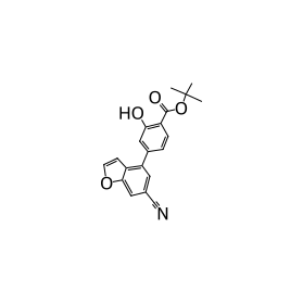 CC(C)(C)OC(=O)c1ccc(-c2cc(C#N)cc3occc23)cc1O